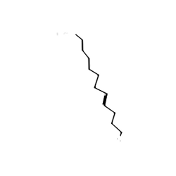 CCCCCCCCCCCCCC=CCCCN